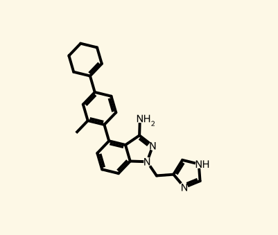 Cc1cc(C2=CCCCC2)ccc1-c1cccc2c1c(N)nn2Cc1c[nH]cn1